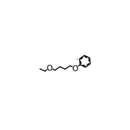 CCOCCCCOc1[c]cccc1